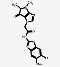 COc1cc2nc(NC(=O)Cn3cnc4c3C(=O)C(C)N4C)sc2cc1Cl